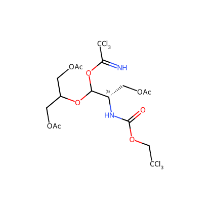 CC(=O)OCC(COC(C)=O)OC(OC(=N)C(Cl)(Cl)Cl)[C@H](COC(C)=O)NC(=O)OCC(Cl)(Cl)Cl